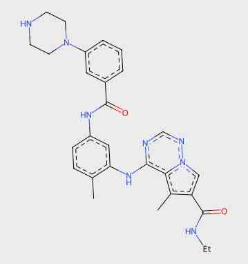 CCNC(=O)c1cn2ncnc(Nc3cc(NC(=O)c4cccc(N5CCNCC5)c4)ccc3C)c2c1C